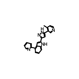 Cc1ccncc1-c1cc(-c2cc3c(-c4ccccn4)cccc3[nH]2)n[nH]1